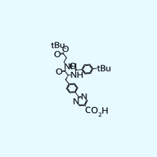 CC(C)(C)OC(=O)CCNC(=O)[C@H](Cc1ccc(-c2ncc(C(=O)O)cn2)cc1)NC(=O)c1ccc(C(C)(C)C)cc1